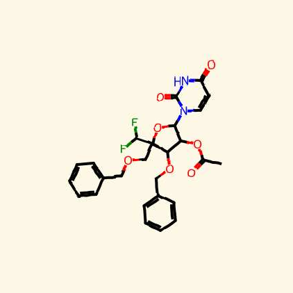 CC(=O)OC1C(n2ccc(=O)[nH]c2=O)OC(COCc2ccccc2)(C(F)F)C1OCc1ccccc1